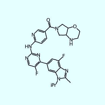 Cc1nc2c(F)cc(-c3nc(Nc4ccc(C(=O)N5CC6NCCOC6C5)cn4)ncc3F)cc2n1C(C)C